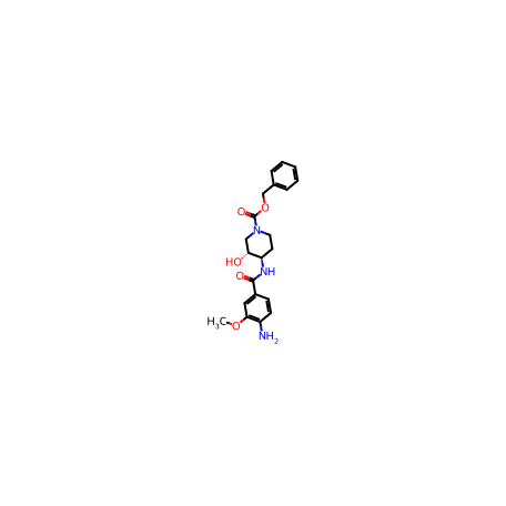 COc1cc(C(=O)N[C@@H]2CCN(C(=O)OCc3ccccc3)C[C@H]2O)ccc1N